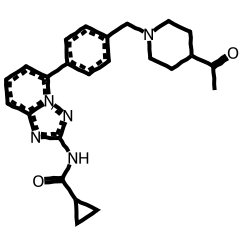 CC(=O)C1CCN(Cc2ccc(-c3cccc4nc(NC(=O)C5CC5)nn34)cc2)CC1